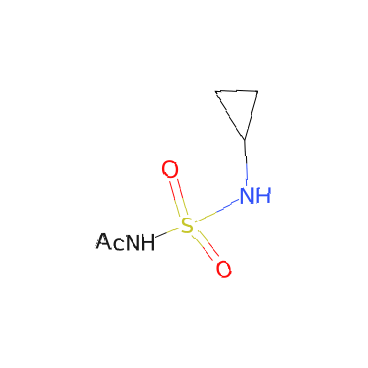 CC(=O)NS(=O)(=O)NC1CC1